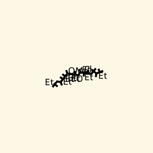 CCC(C)(C)CC(C)C(C)(CC)C(C)(CC)C(C)C(CC)(OC)C(C)(CC)C(=O)C(C)C(C)(CC)C(C)(CC)CC(C)(Cl)C(C)C(C)(C)CC